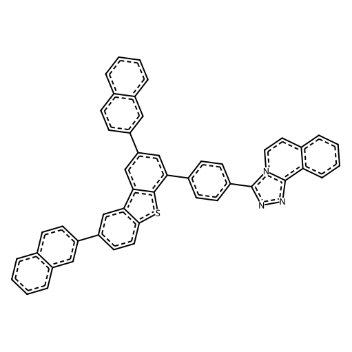 c1ccc2cc(-c3ccc4sc5c(-c6ccc(-c7nnc8c9ccccc9ccn78)cc6)cc(-c6ccc7ccccc7c6)cc5c4c3)ccc2c1